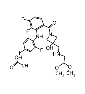 CC(=O)O.COC(CNCC1(O)CN(C(=O)c2ccc(F)c(F)c2Nc2ccc(I)cc2F)C1)OC